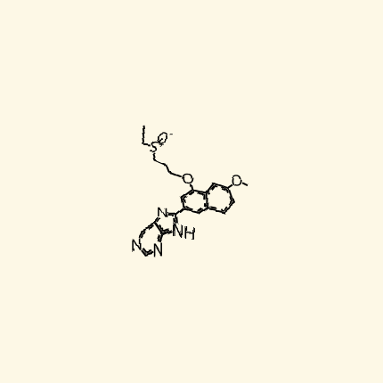 CC[S+]([O-])CCCOc1cc(-c2nc3cncnc3[nH]2)cc2ccc(OC)cc12